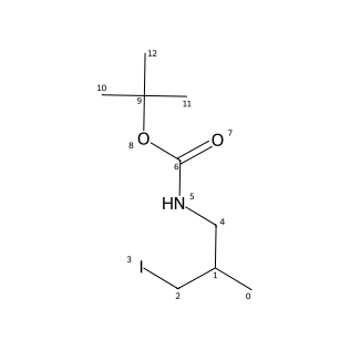 CC(CI)CNC(=O)OC(C)(C)C